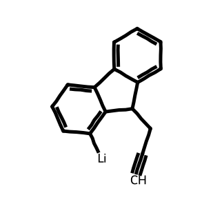 [Li][c]1cccc2c1C(CC#C)c1ccccc1-2